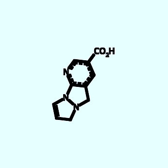 O=C(O)c1cnc2c(c1)CN1CC=CN21